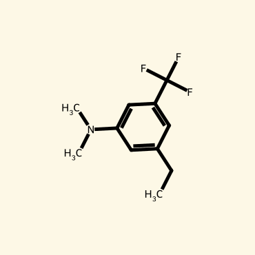 CCc1cc(N(C)C)cc(C(F)(F)F)c1